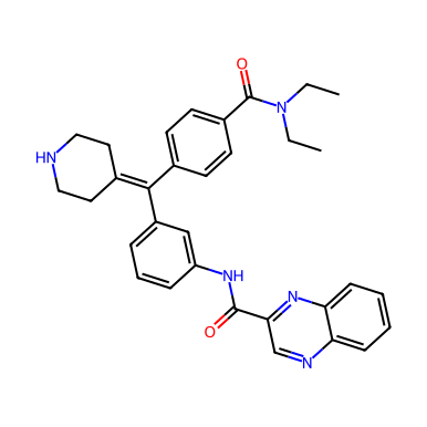 CCN(CC)C(=O)c1ccc(C(=C2CCNCC2)c2cccc(NC(=O)c3cnc4ccccc4n3)c2)cc1